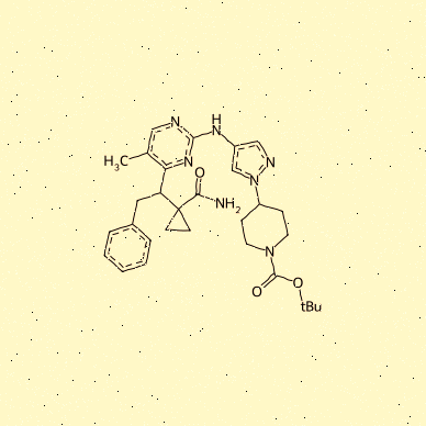 Cc1cnc(Nc2cnn(C3CCN(C(=O)OC(C)(C)C)CC3)c2)nc1C(Cc1ccccc1)C1(C(N)=O)CC1